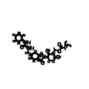 CN(C)CC(=O)OCN1C(=O)CCC(N2Cc3cc(CNC(=O)Nc4ccccc4)ccc3C2=O)C1=O